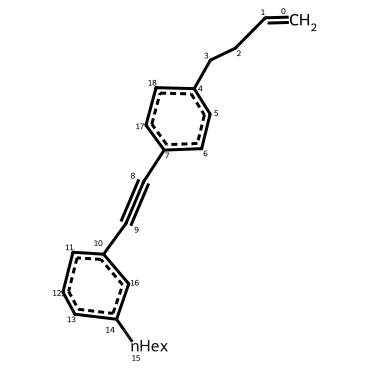 C=CCCc1ccc(C#Cc2c[c]cc(CCCCCC)c2)cc1